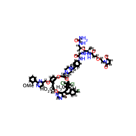 COc1ccccc1-c1nccc(COc2ccc3cc2C[C@H](C(=O)O)Oc2ncnc4sc(-c5ccc(F)cc5)c(c24)-c2c(C)c(Cl)c(c(Cl)c2C)O[C@H](CN2CC[N+](C)(Cc4ccc(NC(=O)[C@H](CCCNC(N)=O)NC(=O)[C@@H](NC(=O)CCOCCN5C(=O)C=CC5=O)C(C)C)cc4)CC2)CO3)n1